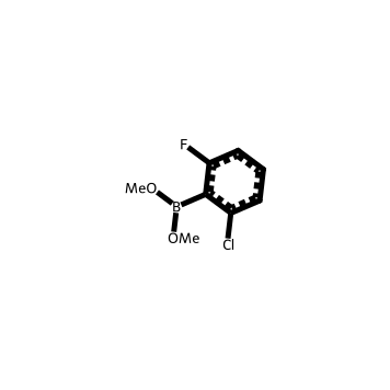 COB(OC)c1c(F)cccc1Cl